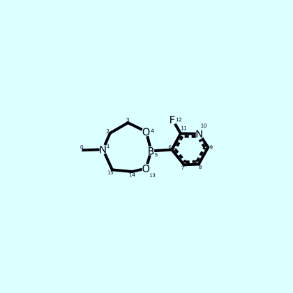 CN1CCOB(c2cccnc2F)OCC1